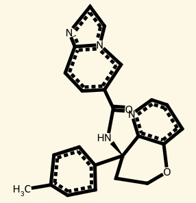 Cc1ccc([C@@]2(NC(=O)c3ccc4nccn4c3)CCOc3cccnc32)cc1